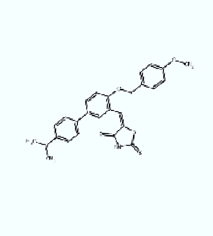 COc1ccc(COc2ccc(-c3ccc(N(C)C)cc3)cc2C=C2SC(=S)NC2=O)cc1